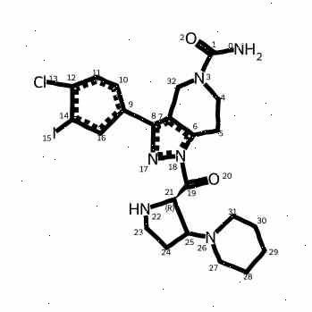 NC(=O)N1CCc2c(c(-c3ccc(Cl)c(I)c3)nn2C(=O)[C@@H]2NCCC2N2CCCCC2)C1